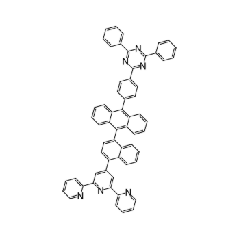 c1ccc(-c2nc(-c3ccccc3)nc(-c3ccc(-c4c5ccccc5c(-c5ccc(-c6cc(-c7ccccn7)nc(-c7ccccn7)c6)c6ccccc56)c5ccccc45)cc3)n2)cc1